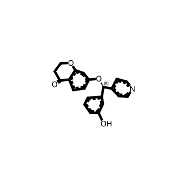 O=C1CCOc2cc(O[C@H](c3ccncc3)c3cccc(O)c3)ccc21